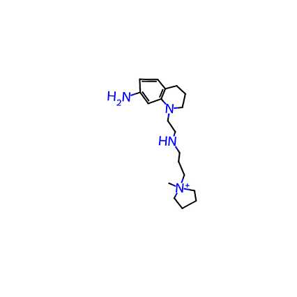 C[N+]1(CCCNCCN2CCCc3ccc(N)cc32)CCCC1